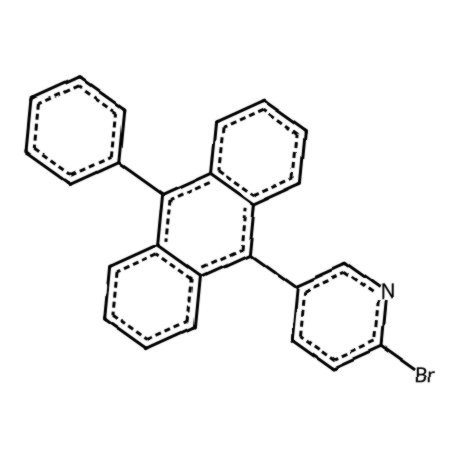 Brc1ccc(-c2c3ccccc3c(-c3ccccc3)c3ccccc23)cn1